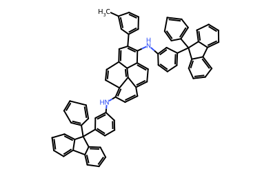 Cc1cccc(-c2cc3ccc4c(Nc5cccc(C6(c7ccccc7)c7ccccc7-c7ccccc76)c5)ccc5ccc(c2Nc2cccc(C6(c7ccccc7)c7ccccc7-c7ccccc76)c2)c3c54)c1